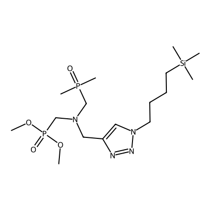 COP(=O)(CN(Cc1cn(CCCC[Si](C)(C)C)nn1)CP(C)(C)=O)OC